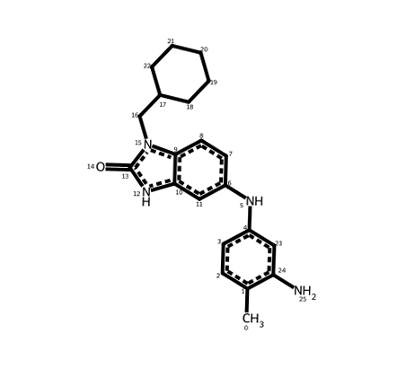 Cc1ccc(Nc2ccc3c(c2)[nH]c(=O)n3CC2CCCCC2)cc1N